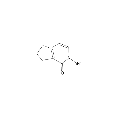 CC(C)n1ccc2c(c1=O)CCC2